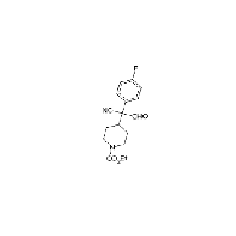 CCOC(=O)N1CCC(C(C#N)(C=O)c2ccc(F)cc2)CC1